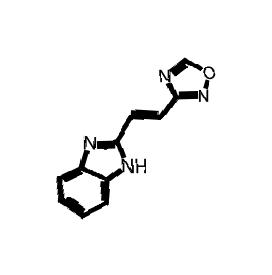 C(=C\c1nc2ccccc2[nH]1)/c1ncon1